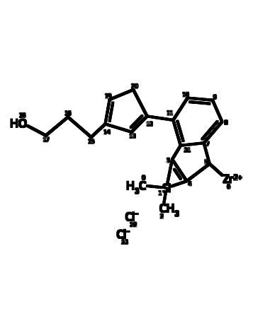 C[Si]1(C)C2=C1[CH]([Zr+2])c1cccc(C3=CC(CCCO)=CC3)c12.[Cl-].[Cl-]